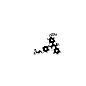 CCC(=C(C(=O)Nc1ccc(OCCN(C)C)cc1)c1ccc(OC(C)(C)C)cc1)c1ccccc1